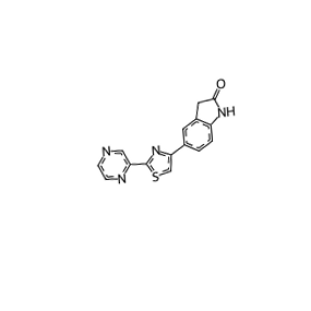 O=C1Cc2cc(-c3csc(-c4cnccn4)n3)ccc2N1